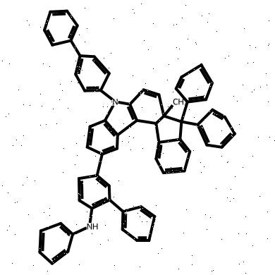 CC12C=Cc3c(c4cc(-c5ccc(Nc6ccccc6)c(-c6ccccc6)c5)ccc4n3-c3ccc(-c4ccccc4)cc3)C1c1ccccc1C2(c1ccccc1)c1ccccc1